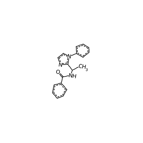 CC(NC(=O)c1ccccc1)c1nccn1-c1ccccc1